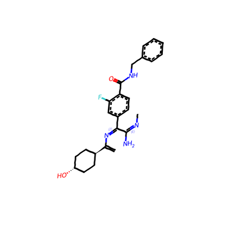 C=C(/N=C(\C(N)=N/C)c1ccc(C(=O)NCc2ccccc2)c(F)c1)[C@H]1CC[C@H](O)CC1